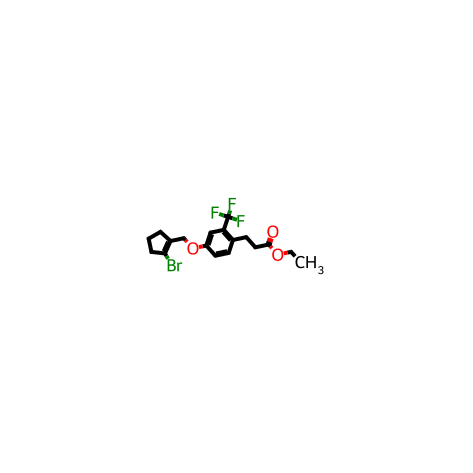 CCOC(=O)CCc1ccc(OCC2=C(Br)CCC2)cc1C(F)(F)F